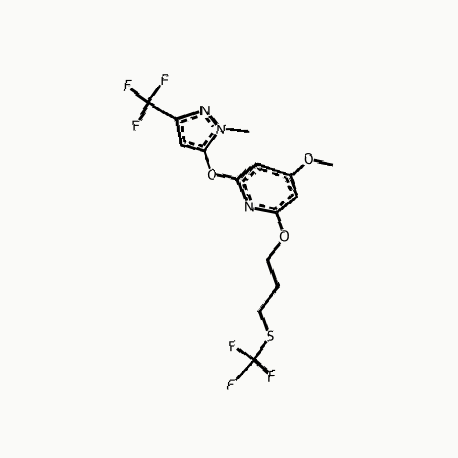 COc1cc(OCCCSC(F)(F)F)nc(Oc2cc(C(F)(F)F)nn2C)c1